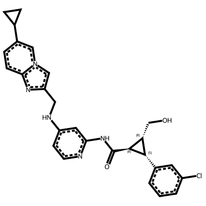 O=C(Nc1cc(NCc2cn3cc(C4CC4)ccc3n2)ccn1)[C@H]1[C@H](CO)[C@@H]1c1cccc(Cl)c1